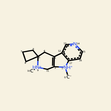 [CH2-][NH+]1C2=C(CC3(CCC3)[NH+]([CH2-])C2)c2cnccc21